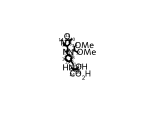 COCC(COC)n1c(-c2cc(C)c(=O)n(C)c2)nc2ccc(CN[C@H](C(=O)O)[C@@H](C)O)cc21